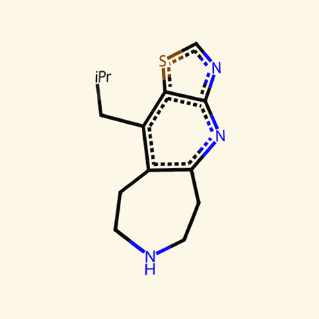 CC(C)Cc1c2c(nc3ncsc13)CCNCC2